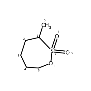 CC1CCCCOS1(=O)=O